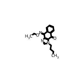 CCCCn1cnc2c1C(=O)c1ccccc1/C2=N/OCC